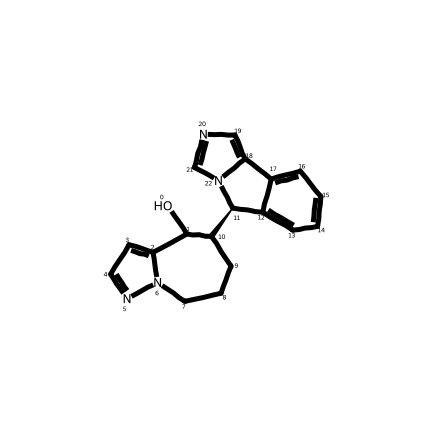 OC1c2ccnn2CCCC1[C@@H]1c2ccccc2-c2cncn21